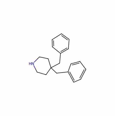 c1ccc(CC2(Cc3ccccc3)CCNCC2)cc1